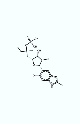 CC[C@](C)(C[C@H]1O[C@@H](n2cc3cc(C)[nH]c3nc2=O)[C@H](O)[C@@H]1O)OP(=O)(O)O